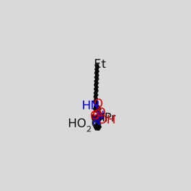 CCC=CCC=CCC=CCC=CCC=CCC=CCCC(=O)Nc1ccc(S(=O)(=O)N(CC(C)C)C[C@@H](O)[C@H](Cc2ccccc2)N(C(=O)O)[C@H]2CCOC2)cc1